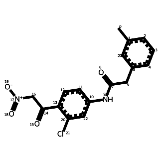 Cc1cccc(CC(=O)Nc2ccc(C(=O)C[N+](=O)[O-])c(Cl)c2)c1